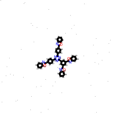 c1ccc2oc(-c3ccc(-c4nc(-c5ccc(-c6nc7ccccc7o6)cc5)nc(-c5cc(-c6nc7ccccc7o6)cc(-c6nc7ccccc7o6)c5)n4)cc3)nc2c1